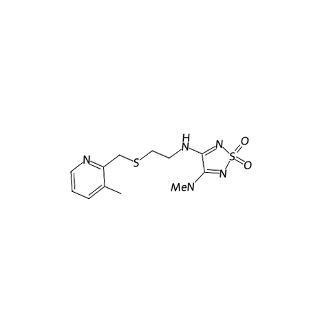 CNC1=NS(=O)(=O)N=C1NCCSCc1ncccc1C